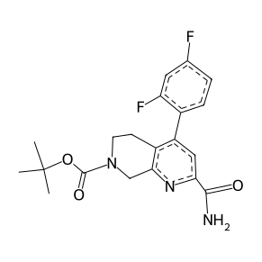 CC(C)(C)OC(=O)N1CCc2c(-c3ccc(F)cc3F)cc(C(N)=O)nc2C1